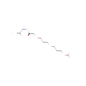 CC(C)OCCCOCCCOCC(=O)N[C@@H](C)C(C)C